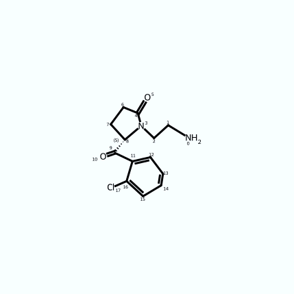 NCCN1C(=O)CC[C@H]1C(=O)c1ccccc1Cl